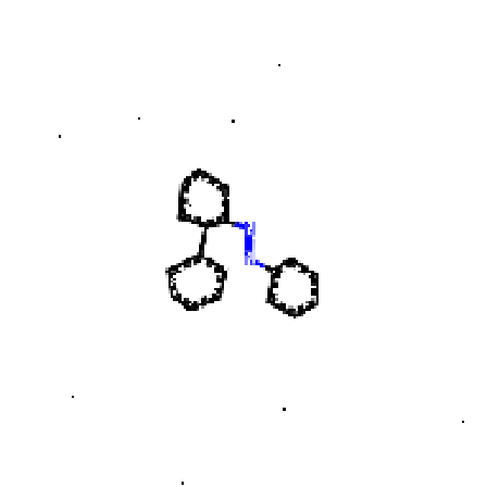 c1ccc(/N=N/c2ccccc2-c2ccccc2)cc1